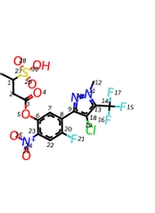 CC(CC(=O)Oc1cc(-c2nn(C)c(C(F)(F)F)c2Cl)c(F)cc1[N+](=O)[O-])S(=O)(=O)O